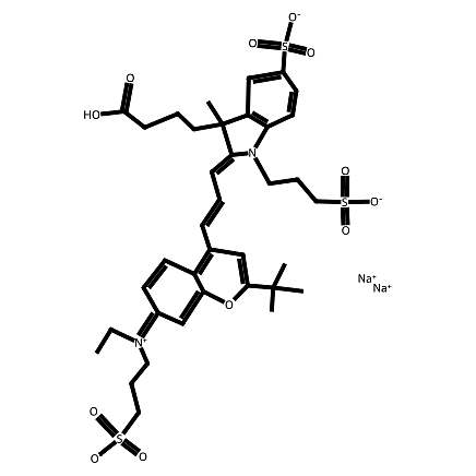 CC[N+](CCCS(=O)(=O)[O-])=c1ccc2c(C=CC=C3N(CCCS(=O)(=O)[O-])c4ccc(S(=O)(=O)[O-])cc4C3(C)CCCC(=O)O)cc(C(C)(C)C)oc-2c1.[Na+].[Na+]